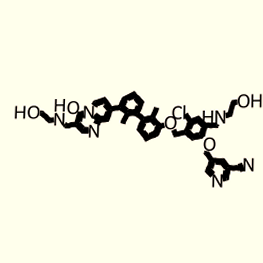 Cc1c(OCc2cc(OCc3cncc(C#N)c3)c(CNCCO)cc2Cl)cccc1-c1cccc(-c2ccn3c(=O)c(CNCCO)cnc3c2)c1C